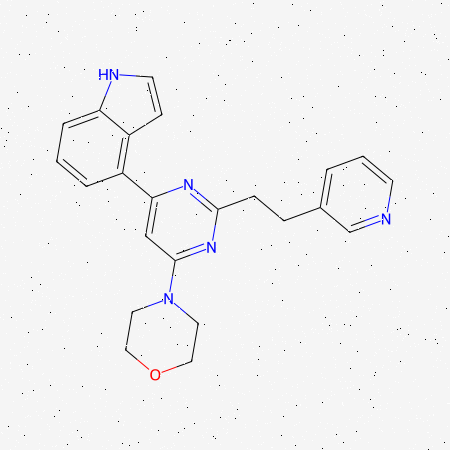 c1cncc(CCc2nc(-c3cccc4[nH]ccc34)cc(N3CCOCC3)n2)c1